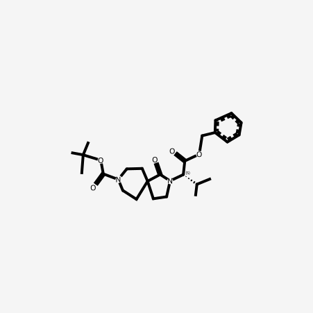 CC(C)[C@@H](C(=O)OCc1ccccc1)N1CCC2(CCN(C(=O)OC(C)(C)C)CC2)C1=O